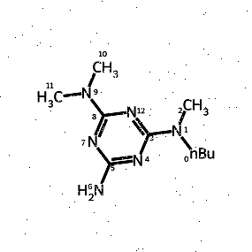 CCCCN(C)c1nc(N)nc(N(C)C)n1